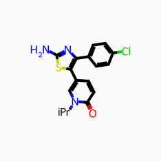 CC(C)n1cc(-c2sc(N)nc2-c2ccc(Cl)cc2)ccc1=O